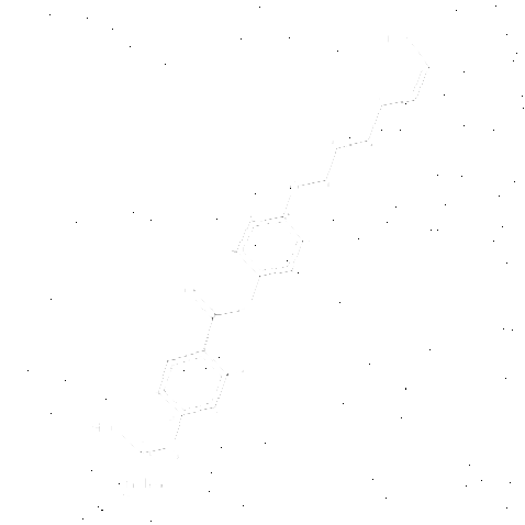 CCC/C=C\CCCCOc1ccc(OC(=O)c2ccc(O[C@@H](C)CCCCCC)cc2)cc1